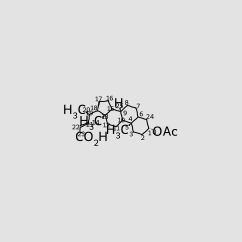 CC(=O)O[C@@H]1CC[C@@]2(C)C(CC[C@@H]3C2CC[C@@]2(C)C3CC[C@@H]2[C@H](C)/C=C/C(=O)O)C1